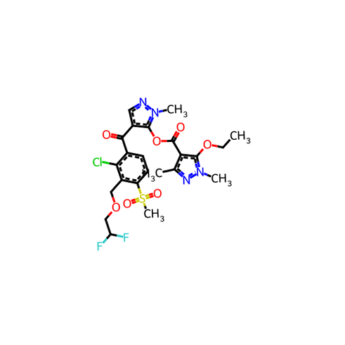 CCOc1c(C(=O)Oc2c(C(=O)c3ccc(S(C)(=O)=O)c(COCC(F)F)c3Cl)cnn2C)c(C)nn1C